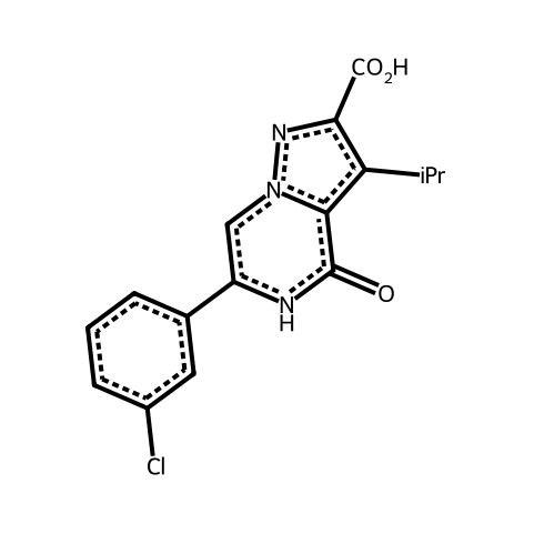 CC(C)c1c(C(=O)O)nn2cc(-c3cccc(Cl)c3)[nH]c(=O)c12